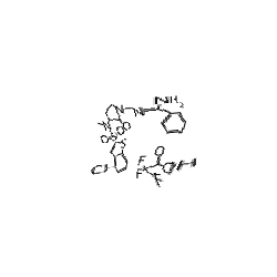 CN([C@H]1CCN(CN=C(N)c2ccccc2)C1=O)S(=O)(=O)c1cc2c(Cl)cccc2s1.O=C(O)C(F)(F)F